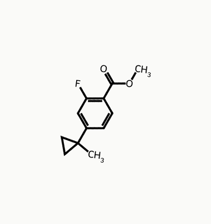 COC(=O)c1ccc(C2(C)CC2)cc1F